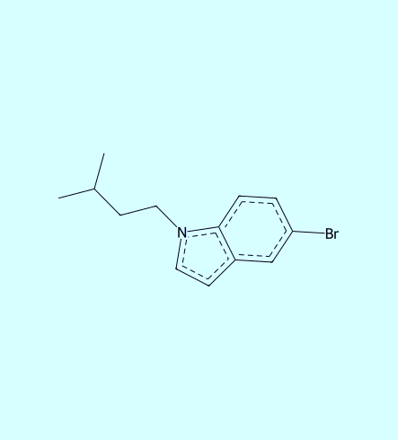 CC(C)CCn1ccc2cc(Br)ccc21